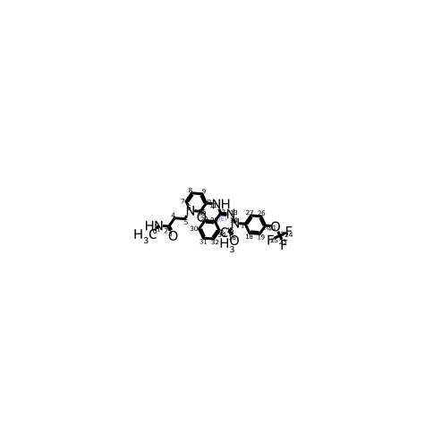 CNC(=O)CCn1cccc(N/C(=N/N(C=O)c2ccc(OC(F)(F)F)cc2)c2ccccc2C)c1=O